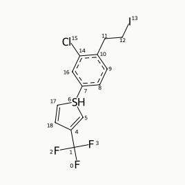 FC(F)(F)C1=C[SH](c2ccc(CCI)c(Cl)c2)C=C1